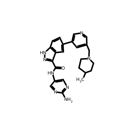 CC1CCN(Cc2cncc(-c3ccc4[nH]nc(C(=O)Nc5cnc(N)nc5)c4c3)c2)CC1